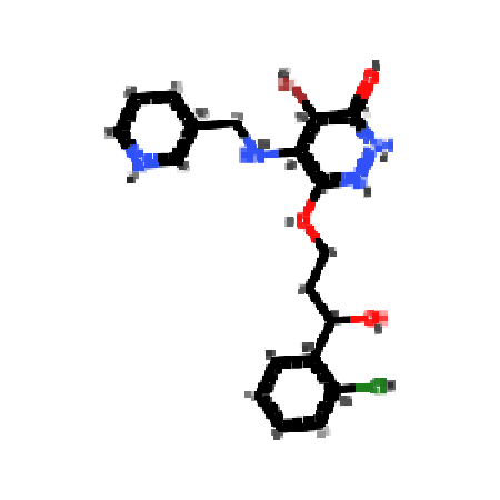 O=c1[nH]nc(OCCC(O)c2ccccc2Cl)c(NCc2cccnc2)c1Br